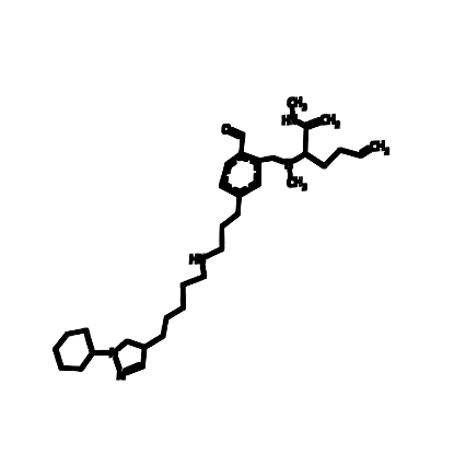 C=CCCC(C(=C)NC)N(C)Cc1cc(CCCNCCCCCC2C=NN(C3CCCCC3)C2)ccc1C=O